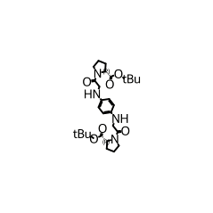 CC(C)(C)OC(=O)[C@H]1CCCN1C(=O)CNc1ccc(NCC(=O)N2CCC[C@@H]2C(=O)OC(C)(C)C)cc1